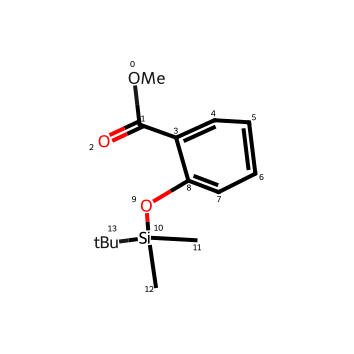 COC(=O)c1ccccc1O[Si](C)(C)C(C)(C)C